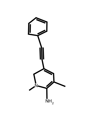 CC1=C(N)N(C)CC(C#Cc2ccccc2)=C1